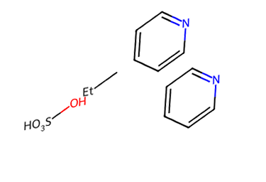 CCC.O=S(=O)(O)O.c1ccncc1.c1ccncc1